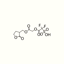 O=C(COC(=O)C(F)(F)S(=O)(=O)O)OCC1CCOC1=O